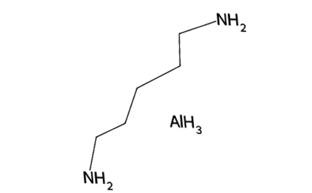 NCCCCCN.[AlH3]